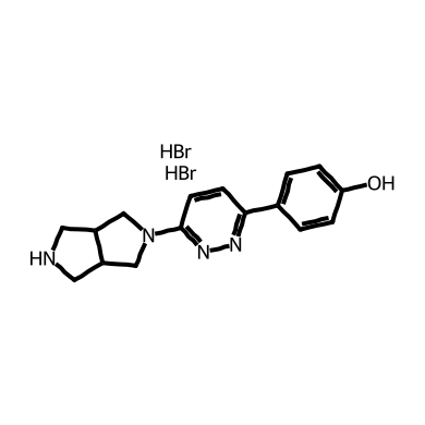 Br.Br.Oc1ccc(-c2ccc(N3CC4CNCC4C3)nn2)cc1